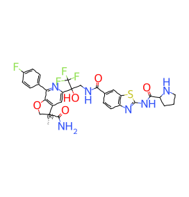 C[C@]1(C(N)=O)COc2c1cc(C(O)(CNC(=O)c1ccc3nc(NC(=O)C4CCCN4)sc3c1)C(F)(F)F)nc2-c1ccc(F)cc1